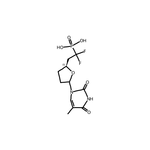 Cc1cn(C2CC[C@@H](CC(F)(F)P(=O)(O)O)O2)c(=O)[nH]c1=O